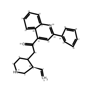 C=C[C@H]1CNCCC1CC(=O)c1cc(-c2ccccc2)nc2ccccc12